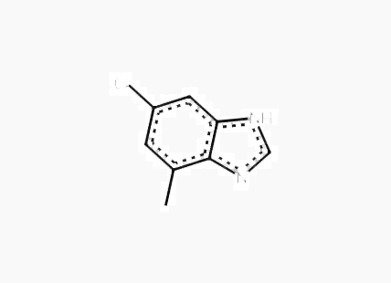 Cc1cc(Cl)cc2[nH][c]nc12